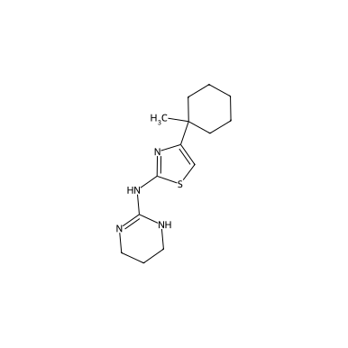 CC1(c2csc(NC3=NCCCN3)n2)CCCCC1